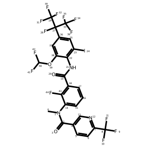 CN(C(=O)c1ccc(C(F)(F)F)nc1)c1cccc(C(=O)Nc2c(I)cc(C(F)(C(F)(F)F)C(F)(F)F)cc2OC(F)F)c1F